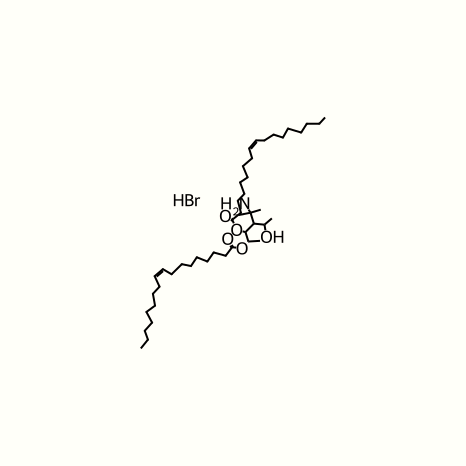 Br.CCCCCCCC/C=C\CCCCCCCC(=O)OC(C)C(OC(=O)CCCCCCC/C=C\CCCCCCCC)C(C(C)O)C(C)(C)N